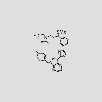 C=C(C)N(CCC(SC)c1cccc(-c2csc(C3CN(SC4=CC=C(C)CC4)c4nccnc43)n2)c1)CC(F)(F)F